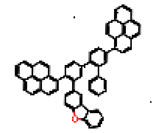 c1ccc(-c2cc(-c3ccc4ccc5cccc6ccc3c4c56)ccc2-c2ccc(-c3ccc4ccc5cccc6ccc3c4c56)c(-c3ccc4oc5ccccc5c4c3)c2)cc1